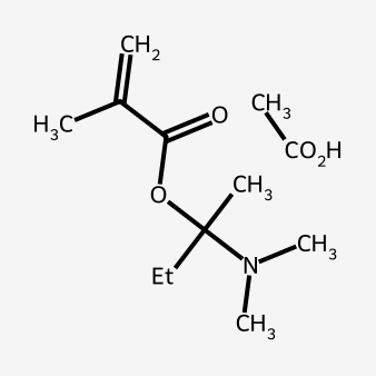 C=C(C)C(=O)OC(C)(CC)N(C)C.CC(=O)O